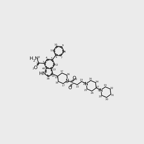 NC(=O)c1cc(-c2ccccc2)cc2c(C3CCN(S(=O)(=O)CCN4CCC(N5CCCCC5)CC4)CC3)c[nH]c12